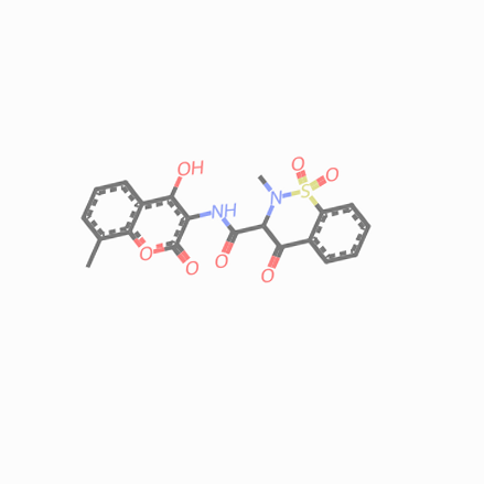 Cc1cccc2c(O)c(NC(=O)C3C(=O)c4ccccc4S(=O)(=O)N3C)c(=O)oc12